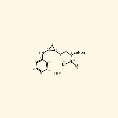 CCCCCCCCCC(CCC1CC1Nc1ccccc1)N(CC)CC.F